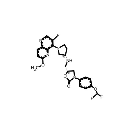 COc1ccc2ncc(F)c(N3CC[C@H](NC[C@@H]4CN(c5ccc(OC(F)F)cc5)C(=O)O4)C3)c2n1